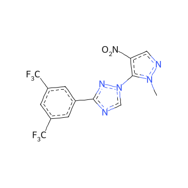 Cn1ncc([N+](=O)[O-])c1-n1cnc(-c2cc(C(F)(F)F)cc(C(F)(F)F)c2)n1